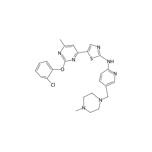 Cc1cc(-c2cnc(Nc3ccc(CN4CCN(C)CC4)cn3)s2)nc(Oc2ccccc2Cl)n1